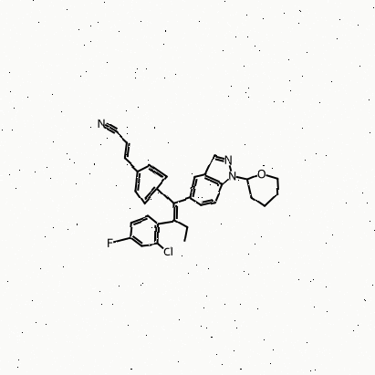 CC/C(=C(/c1ccc(/C=C/C#N)cc1)c1ccc2c(cnn2C2CCCCO2)c1)c1ccc(F)cc1Cl